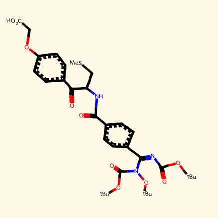 CSCC(NC(=O)c1ccc(/C(=N/C(=O)OC(C)(C)C)N(OC(C)(C)C)C(=O)OC(C)(C)C)cc1)C(=O)c1ccc(OCC(=O)O)cc1